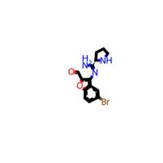 N/C(=N\c1c(C=O)oc2ccc(Br)cc12)[C@@H]1CCCN1